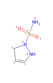 NS(=O)(=O)N1CC=CN1